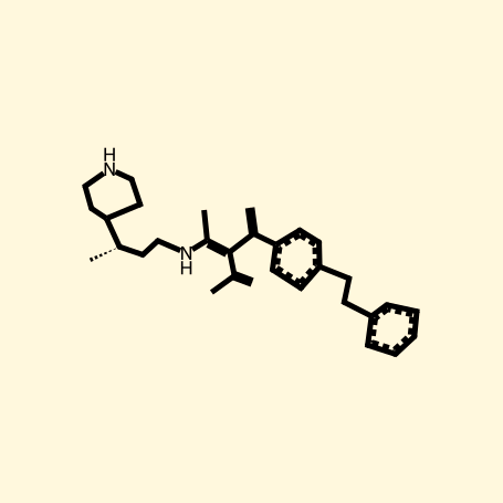 C=C(C)/C(C(=C)c1ccc(CCc2ccccc2)cc1)=C(/C)NCC[C@H](C)C1CCNCC1